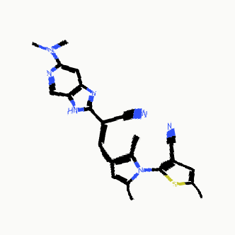 Cc1cc(C#N)c(-n2c(C)cc(/C=C(\C#N)c3nc4cc(N(C)C)ncc4[nH]3)c2C)s1